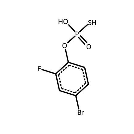 O=P(O)(S)Oc1ccc(Br)cc1F